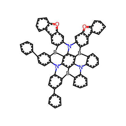 c1ccc(-c2ccc3c(c2)B2c4ccccc4N4c5ccccc5B5c6cc7c(cc6N6c8cc9oc%10ccccc%10c9cc8B8c9cc(-c%10ccccc%10)ccc9N3c3c2c4c5c6c38)oc2ccccc27)cc1